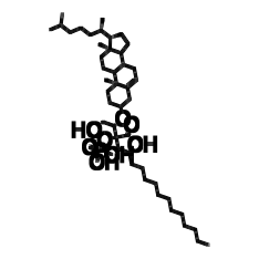 CCCCCCCCCCCCCCC(OP(=O)(O)O)(C(=O)O)C(CO)OC1CC[C@@]2(C)C(=CCC3C2CC[C@@]2(C)C3CC[C@@H]2[C@H](C)CCCC(C)C)C1